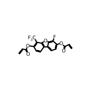 C=CC(=O)Oc1ccc2c(oc3c(C(F)(F)F)c(OC(=O)C=C)ccc32)c1F